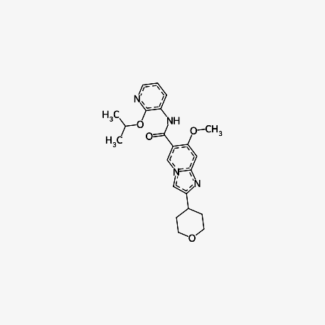 COc1cc2nc(C3CCOCC3)cn2cc1C(=O)Nc1cccnc1OC(C)C